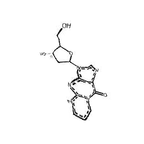 O=c1c2ncn(C3C[C@H](O)C(CO)O3)c2nc2ncccn12